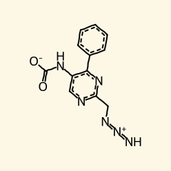 N=[N+]=NCc1ncc(NC(=O)[O-])c(-c2ccccc2)n1